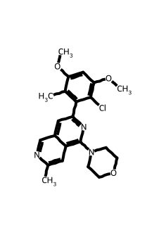 COc1cc(OC)c(Cl)c(-c2cc3cnc(C)cc3c(N3CCOCC3)n2)c1C